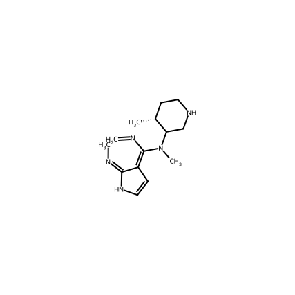 C=N/C(=C1/C=CN/C1=N/C)N(C)C1CNCC[C@H]1C